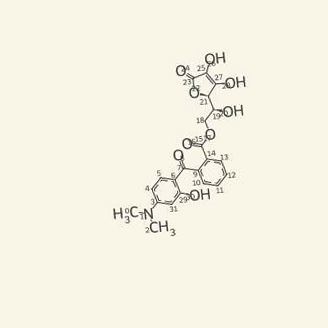 CN(C)c1ccc(C(=O)c2ccccc2C(=O)OC[C@H](O)[C@H]2OC(=O)C(O)=C2O)c(O)c1